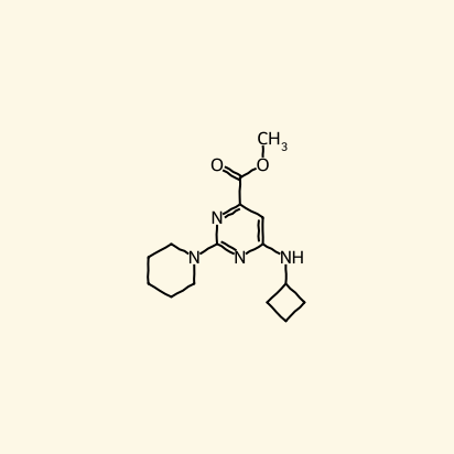 COC(=O)c1cc(NC2CCC2)nc(N2CCCCC2)n1